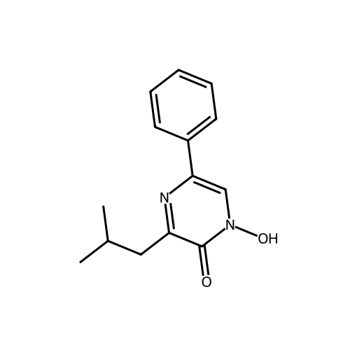 CC(C)Cc1nc(-c2ccccc2)cn(O)c1=O